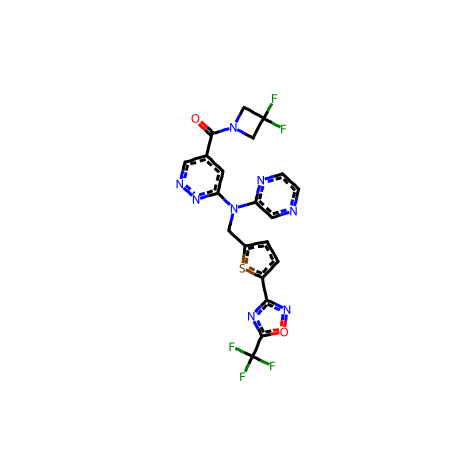 O=C(c1cnnc(N(Cc2ccc(-c3noc(C(F)(F)F)n3)s2)c2cnccn2)c1)N1CC(F)(F)C1